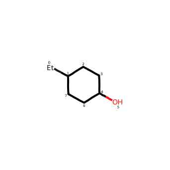 [CH2]CC1CCC(O)CC1